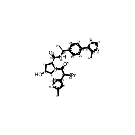 Cc1cc(C(C(=O)N2C[C@H](O)C[C@H]2C(=O)N[C@@H](C)c2ccc(-c3scnc3C)cc2)C(C)C)ns1